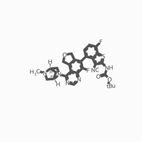 CN1C[C@H]2C[C@@H]1CN2c1ncnc2c(F)c(-c3ccc(F)c4sc(NC(=O)OC(C)(C)C)c(C#N)c34)c3c(c12)COC3